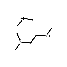 CNCCN(C)C.[CH3][Al][CH3]